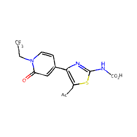 CC(=O)c1sc(NC(=O)O)nc1-c1ccn(CC(F)(F)F)c(=O)c1